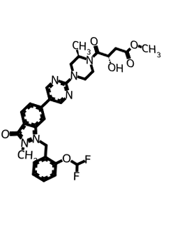 COC(=O)C[C@H](O)C(=O)N1CCN(c2ncc(-c3ccc4c(=O)n(C)n(Cc5ccccc5OC(F)F)c4c3)cn2)C[C@H]1C